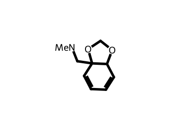 CNCC12C=CC=CC1OCO2